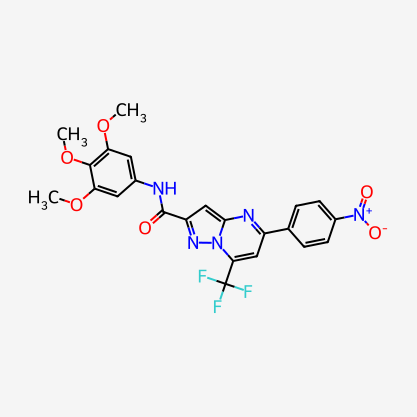 COc1cc(NC(=O)c2cc3nc(-c4ccc([N+](=O)[O-])cc4)cc(C(F)(F)F)n3n2)cc(OC)c1OC